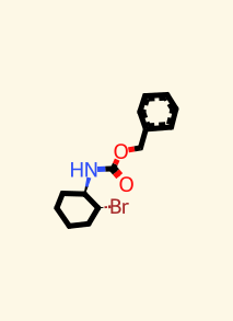 O=C(N[C@@H]1CCCC[C@H]1Br)OCc1ccccc1